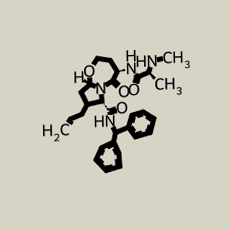 C=CCC1C[C@@H]2OCC[C@H](NC(=O)[C@H](C)NC)C(=O)N2[C@@H]1C(=O)NC(c1ccccc1)c1ccccc1